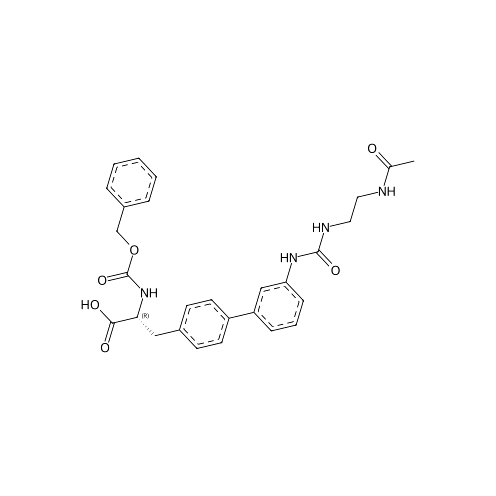 CC(=O)NCCNC(=O)Nc1cccc(-c2ccc(C[C@@H](NC(=O)OCc3ccccc3)C(=O)O)cc2)c1